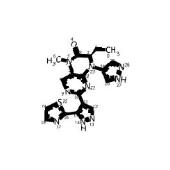 CC[C@@H]1C(=O)N(C)c2cnc(-c3cn[nH]c3-c3nccs3)nc2N1c1cn[nH]c1